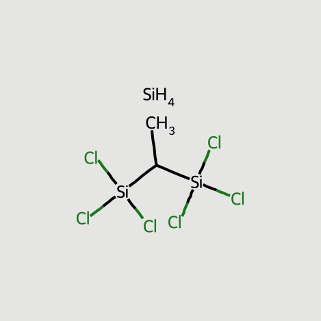 CC([Si](Cl)(Cl)Cl)[Si](Cl)(Cl)Cl.[SiH4]